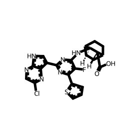 O=C(O)[C@H]1C2CCC(CC2)[C@@H]1Nc1nc(-c2c[nH]c3ncc(Cl)nc23)nc(-c2cccs2)c1F